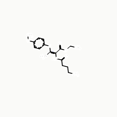 CCCCC(=O)N/C(C(=O)OCC)=C(\N)Sc1ccc(OC)cc1